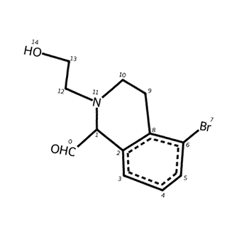 O=CC1c2cccc(Br)c2CCN1CCO